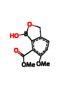 COC(=O)c1c(OC)ccc2c1B(O)OC2